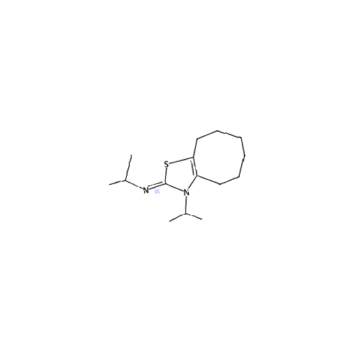 CC(C)/N=c1\sc2c(n1C(C)C)CCCCCC2